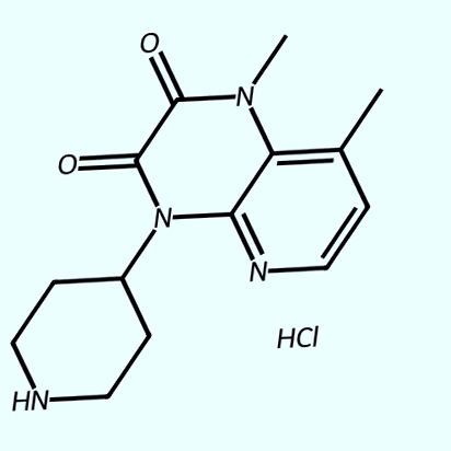 Cc1ccnc2c1n(C)c(=O)c(=O)n2C1CCNCC1.Cl